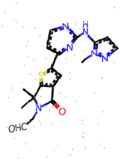 Cn1nccc1Nc1nccc(-c2cc3c(s2)C(C)(C)N(CC=O)C3=O)n1